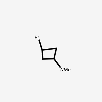 CCC1CC(NC)C1